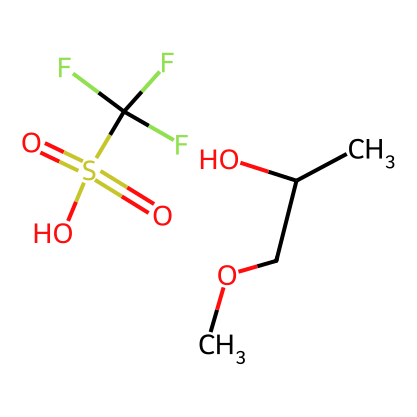 COCC(C)O.O=S(=O)(O)C(F)(F)F